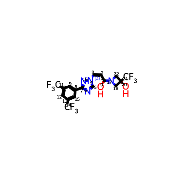 OC(/C=C\n1cnc(-c2cc(C(F)(F)F)cc(C(F)(F)F)c2)n1)N1CC(O)(C(F)(F)F)C1